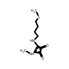 CNc1c(NCCCCSC)c(=O)c1=O